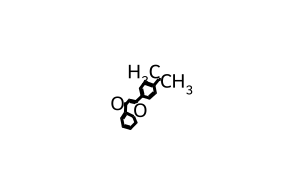 CC(C)c1ccc(C2=CC(=O)C3=CC=CCC3O2)cc1